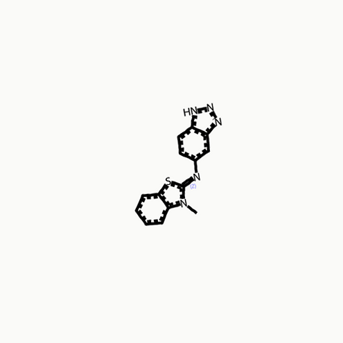 Cn1/c(=N/c2ccc3[nH]nnc3c2)sc2ccccc21